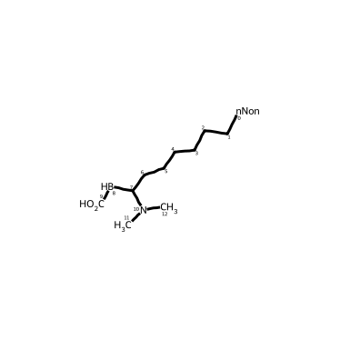 CCCCCCCCCCCCCCCC(BC(=O)O)N(C)C